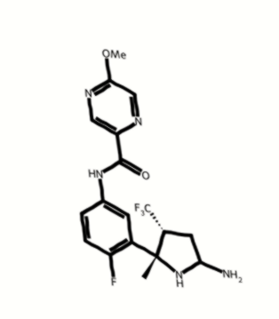 COc1cnc(C(=O)Nc2ccc(F)c([C@@]3(C)NC(N)C[C@H]3C(F)(F)F)c2)cn1